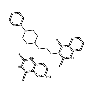 Cl.O=c1[nH]c(=O)c2ccccc2[nH]1.O=c1[nH]c2ccccc2c(=O)n1CCCN1CCN(c2ccccc2)CC1